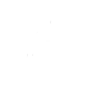 CC(C)(C)OOC1(O)CCCC1